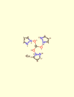 [Eu].c1cnn(OB(On2cccn2)On2cccn2)c1